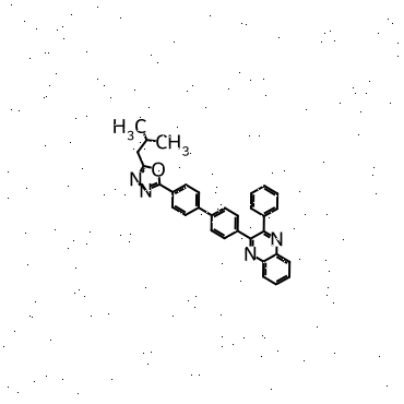 CC(C)Cc1nnc(-c2ccc(-c3ccc(-c4nc5ccccc5nc4-c4ccccc4)cc3)cc2)o1